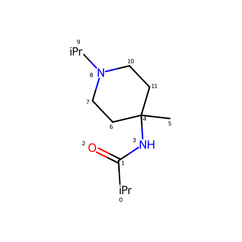 CC(C)C(=O)NC1(C)CCN(C(C)C)CC1